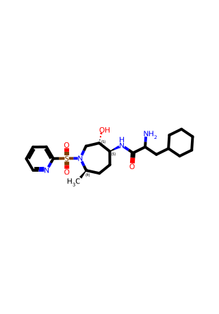 C[C@@H]1CC[C@H](NC(=O)C(N)CC2CCCCC2)[C@@H](O)CN1S(=O)(=O)c1ccccn1